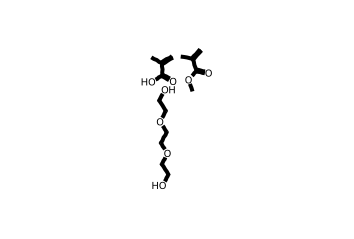 C=C(C)C(=O)O.C=C(C)C(=O)OC.OCCOCCOCCO